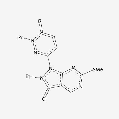 CCn1c(=O)c2cnc(SC)nc2n1-c1ccc(=O)n(C(C)C)n1